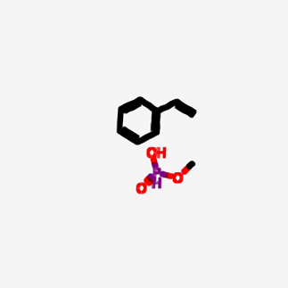 C=Cc1ccccc1.CO[PH](=O)O